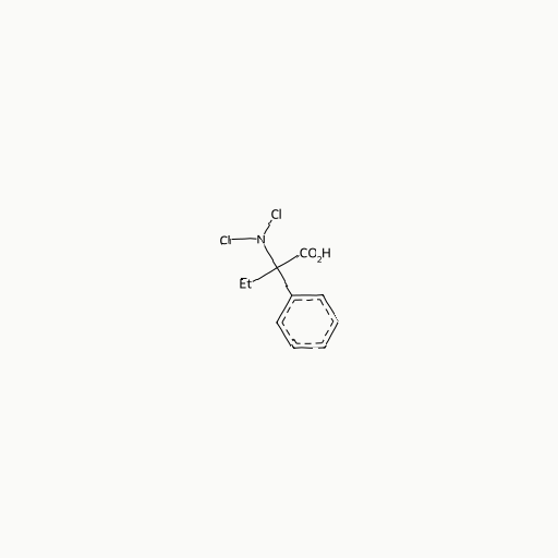 CCC(C(=O)O)(c1ccccc1)N(Cl)Cl